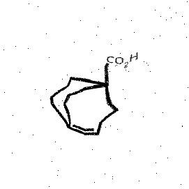 O=C(O)C12CC=C(CC1)C2